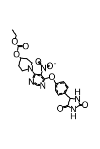 CCOC(=O)OC1CCN(c2ncnc(Oc3ccc(C4NC(=O)NC4=O)cc3)c2[N+](=O)[O-])CC1